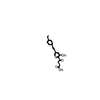 CCc1ccc(C#Cc2cnc(C(=O)CCC(=O)O)c(O)c2)cc1